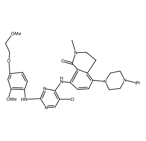 COCCOc1ccc(Nc2ncc(Cl)c(Nc3ccc(N4CCN(C(C)C)CC4)c4c3C(=O)N(C)CC4)n2)c(OC)c1